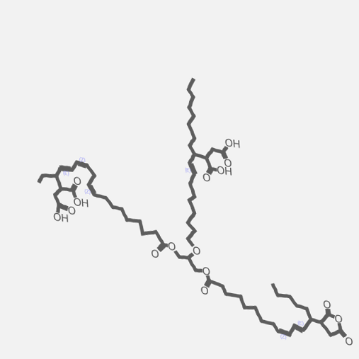 CCCCCCCCC(/C=C/CCCCCCCOC(COC(=O)CCCCCCC/C=C\C=C\C(CCCCC)C1CC(=O)OC1=O)COC(=O)CCCCCCC/C=C\C/C=C\C=C\C(CC)C(CC(=O)O)C(=O)O)C(CC(=O)O)C(=O)O